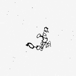 CN1CCC[C@H]1COC(=O)N1CCC(CS(=O)(=O)N2CC=C(c3ccccc3)CC2)(C(=O)O)CC1